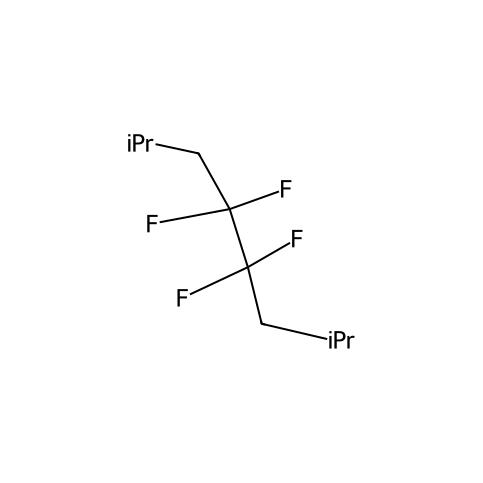 CC(C)CC(F)(F)C(F)(F)CC(C)C